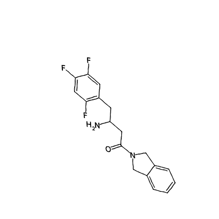 NC(CC(=O)N1Cc2ccccc2C1)Cc1cc(F)c(F)cc1F